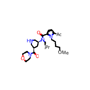 COCCCCn1c(C(C)=O)ccc1C(=O)N(CC(C)C)[C@@H]1CNC[C@H](C(=O)N2CCOCC2)C1